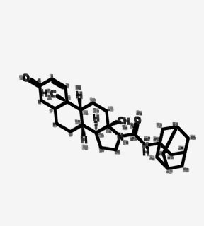 C[C@]12C=CC(=O)CC1CC[C@@H]1[C@H]2CC[C@@]2(C)[C@H]1CCN2C(=O)NC12CC3CC(CC(C3)C1)C2